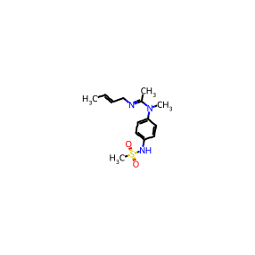 C/C=C/CN=C(C)N(C)c1ccc(NS(C)(=O)=O)cc1